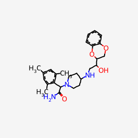 Cc1cc(C)c(C(C(N)=O)N2CCC(NCC(O)C3COc4ccccc4O3)CC2)c(C)c1